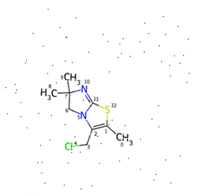 CC1=C(CCl)N2CC(C)(C)N=C2S1